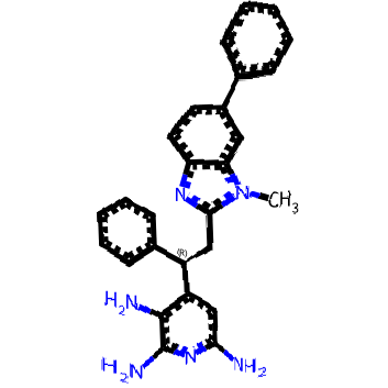 Cn1c(C[C@H](c2ccccc2)c2cc(N)nc(N)c2N)nc2ccc(-c3ccccc3)cc21